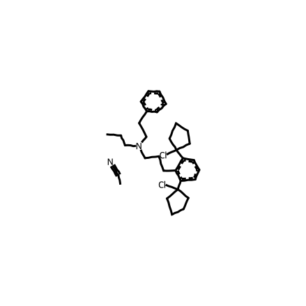 CC#N.CCCN(CCCc1c(C2(Cl)CCCC2)cccc1C1(Cl)CCCC1)CCc1ccccc1